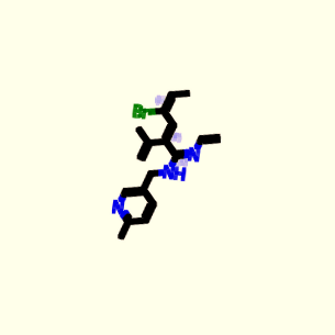 C=C\N=C(NCc1ccc(C)nc1)/C(=C/C(Br)=C\C)C(=C)C